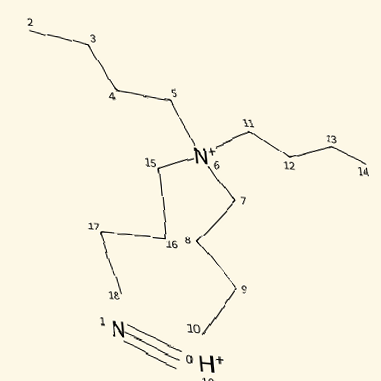 C#N.CCCC[N+](CCCC)(CCCC)CCCC.[H+]